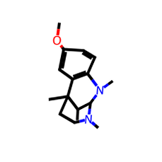 COc1ccc2c(c1)C1(C)CCN(C)C(C1C)N2C